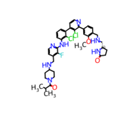 COc1cc(-c2nccc(-c3cccc(Nc4nccc(CNC5CCN(C(=O)C(C)C)CC5)c4F)c3Cl)c2Cl)ccc1CNC[C@@H]1CCC(=O)N1